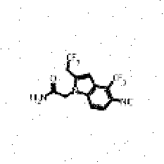 [C-]#[N+]c1ccc2c(cc(CC(F)(F)F)n2CC(N)=O)c1C(F)(F)F